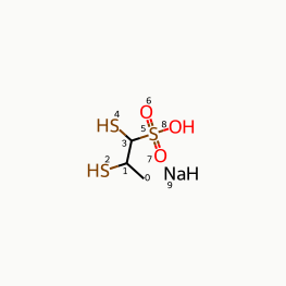 CC(S)C(S)S(=O)(=O)O.[NaH]